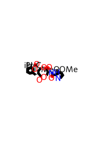 [CH2]Oc1c(OC)ccnc1C(=O)N[C@H]1COC(=O)[C@H](Cc2ccccc2)[C@@H](OC(=O)C(C)C)[C@H](C)OC1=O